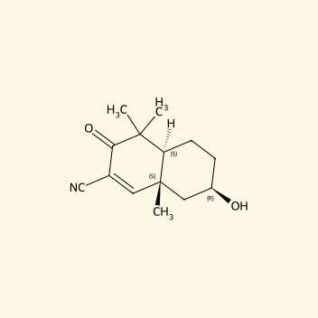 CC1(C)C(=O)C(C#N)=C[C@@]2(C)C[C@H](O)CC[C@H]12